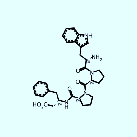 N[C@@H](Cc1c[nH]c2ccccc12)C(=O)N1CCC[C@H]1C(=O)N1CCC[C@H]1C(=O)N[C@H](CC(=O)O)Cc1ccccc1